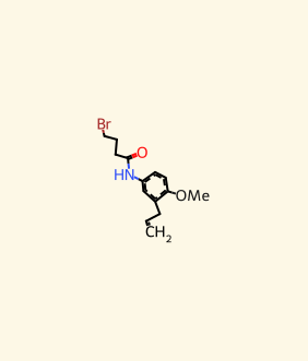 C=CCc1cc(NC(=O)CCCBr)ccc1OC